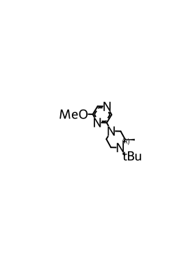 COc1cncc(N2CCN(C(C)(C)C)[C@H](C)C2)n1